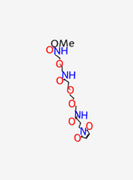 COC(=O)NCCOCCNC(=O)CCOCCOCCNC(=O)CCN1C(=O)C=CC1=O